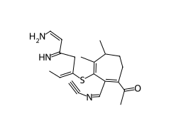 C#C/N=C\C1=C(C(C)=O)CCC(C)C(C)=C1S/C(=C/C)CC(=N)/C=C\N